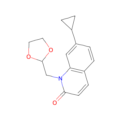 O=c1ccc2ccc(C3CC3)cc2n1CC1OCCO1